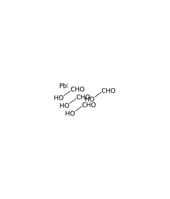 O=CO.O=CO.O=CO.O=CO.[Pb]